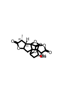 C[C@H]1C(=O)OC2CC34C5C[C@@H](C(C)(C)C)C36C(OC(=O)[C@@H]6O)OC4(C(=O)O5)[C@H]21